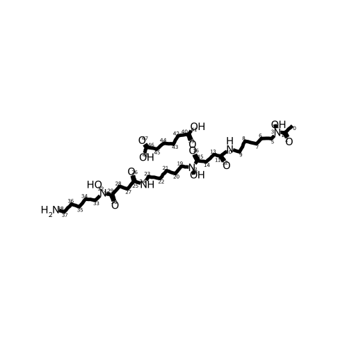 CC(=O)N(O)CCCCCNC(=O)CCC(=O)N(O)CCCCCNC(=O)CCC(=O)N(O)CCCCCN.O=C(O)CCCCC(=O)O